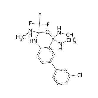 CNC1(NC)OC(NC)(C(F)(F)F)Nc2ccc(-c3cccc(Cl)c3)cc21